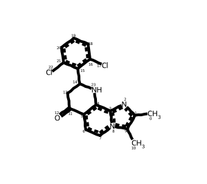 Cc1nc2c3c(ccn2c1C)C(=O)CC(c1c(Cl)cccc1Cl)N3